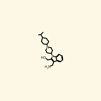 CC(C)C1CCC(N2CCC(n3c(CO)c(CN)c4ccccc43)CC2)CC1